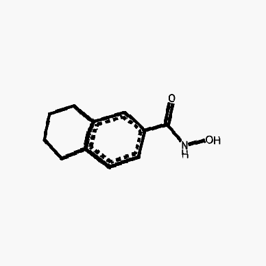 O=C(NO)c1ccc2c(c1)CCCC2